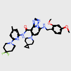 COc1ccc(CNc2cc(N3CCC4(CC3)CC4)c(C(=O)Nc3cc(C)cc(N4CCC(F)(F)CC4)n3)c3ncnn23)c(OC)c1